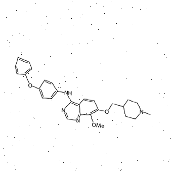 COc1c(OCC2CCN(C)CC2)ccc2c(Nc3ccc(Oc4ccccc4)cc3)ncnc12